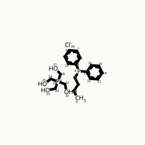 CCCCP(c1ccccc1)c1ccccc1.OC[P+](CO)(CO)CO.[Cl-]